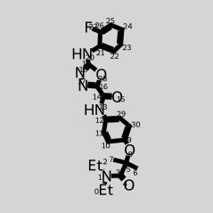 CCN(CC)C(=O)C(C)(C)Oc1ccc(NC(=O)c2nnc(Nc3ccccc3F)o2)cc1